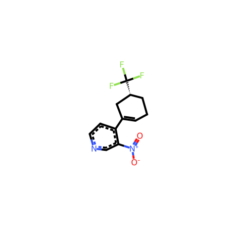 O=[N+]([O-])c1cnccc1C1=CCC[C@@H](C(F)(F)F)C1